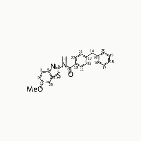 COc1ccc2nc(NC(=O)c3ccc(Cc4ccccc4)cc3)sc2c1